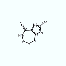 CC(=O)c1nc2c(s1)CCCNC2=O